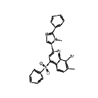 Cc1ccc2c(S(=O)(=O)c3ccccc3)cc(-c3cnc(-c4ccccc4)n3C)nc2c1Br